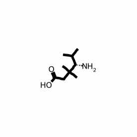 CC(C)[C@H](N)C(C)(C)CC(=O)O